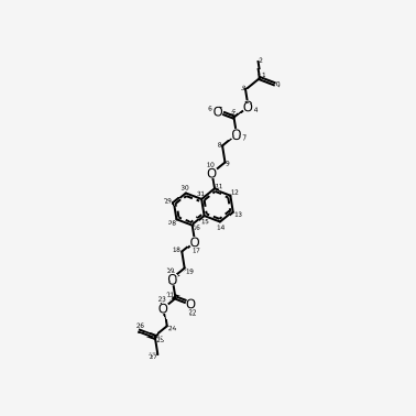 C=C(C)COC(=O)OCCOc1cccc2c(OCCOC(=O)OCC(=C)C)cccc12